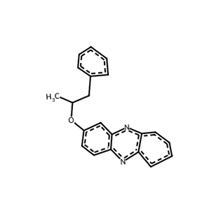 CC(Cc1ccccc1)Oc1ccc2nc3ccccc3nc2c1